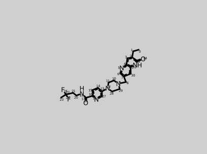 CCc1cc2ncc(CN3CCN(c4ccc(C(=O)NCCC(C)(F)F)nc4)CC3)cc2[nH]c1=O